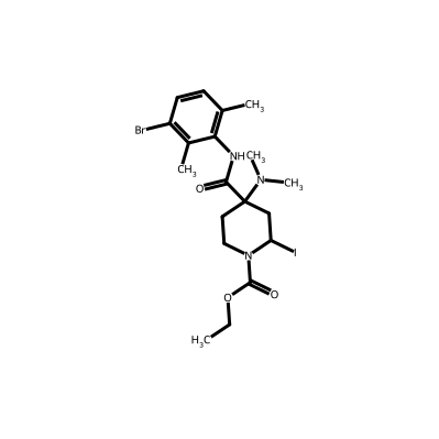 CCOC(=O)N1CCC(C(=O)Nc2c(C)ccc(Br)c2C)(N(C)C)CC1I